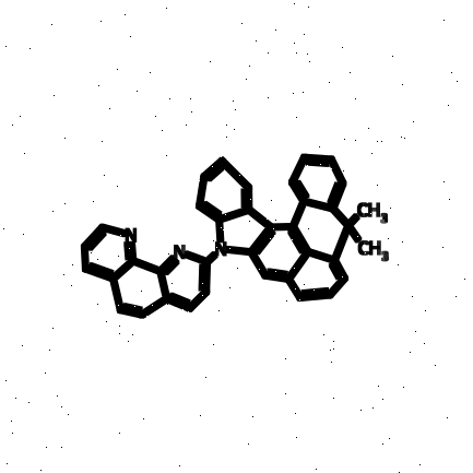 CC1(C)c2ccccc2-c2c3c1cccc3cc1c2c2ccccc2n1-c1ccc2ccc3cccnc3c2n1